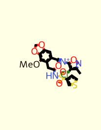 COc1c(CC(=O)NS(=O)(=O)c2ccsc2)c(C#[N+]c2onc(C)c2Cl)cc2c1OCO2